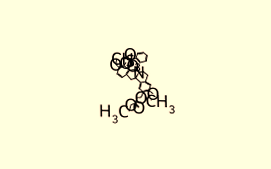 CCOC(=O)COc1cc2c(cc1OC)CCN1Cc3c(ccc(OC)c3OS(=O)(=O)c3ccccc3)CC21